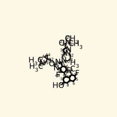 CCc1c(F)ccc2cc(O)cc(-c3c(F)cc4c(N5CCCn6nc(C(=O)N(C)C)cc6C5)nc(OCC5(CN(C)C)CC5)nc4c3F)c12